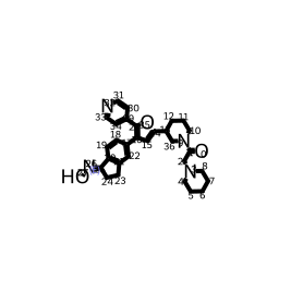 O=C(CN1CCCCC1)N1CCCC(c2cc(-c3ccc4c(c3)CC/C4=N\O)c(-c3ccncc3)o2)C1